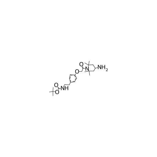 CC(C)(C)OC(=O)NCCc1ccc(OCC(=O)N2C(C)(C)CC(N)CC2(C)C)cc1